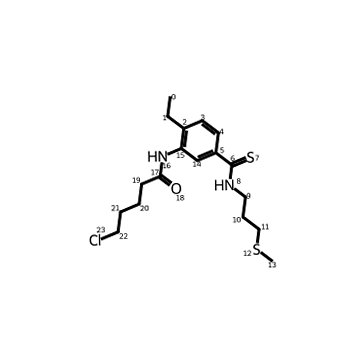 CCc1ccc(C(=S)NCCCSC)cc1NC(=O)CCCCCl